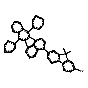 CC1(C)c2cc(Br)ccc2-c2ccc(-c3ccc4c5c(cccc35)-c3c-4c(-c4ccccc4)c4ccccc4c3-c3ccccc3)cc21